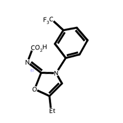 CCc1cn(-c2cccc(C(F)(F)F)c2)/c(=N\C(=O)O)o1